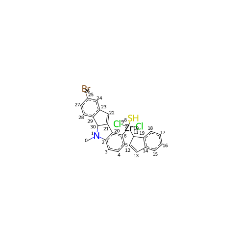 CN1c2ccc[c]([Zr]([SH])([Cl])([Cl])[CH]3C=Cc4ccccc43)c2C2=Cc3cc(Br)ccc3C21